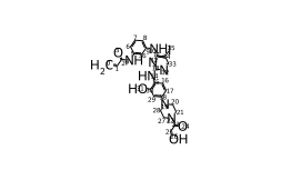 C=CC(=O)Nc1cccc(Nc2nc(Nc3ccc(N4CCN(C(=O)CO)CC4)cc3O)ncc2I)c1